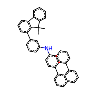 CC1(C)c2ccccc2-c2cccc(-c3cccc(Nc4ccc(-c5cccc6cccc(-c7ccccc7)c56)cc4)c3)c21